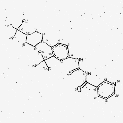 O=C(NC(=S)Nc1ccc(N2CCC(C(F)(F)F)CC2)c(C(F)(F)F)c1)c1cccnc1